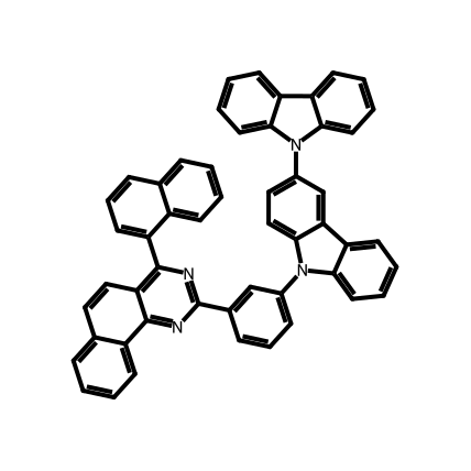 c1cc(-c2nc(-c3cccc4ccccc34)c3ccc4ccccc4c3n2)cc(-n2c3ccccc3c3cc(-n4c5ccccc5c5ccccc54)ccc32)c1